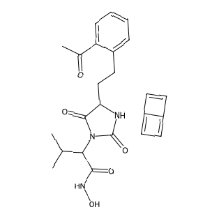 CC(=O)c1ccccc1CCC1NC(=O)N(C(C(=O)NO)C(C)C)C1=O.c1cc2ccc1-2